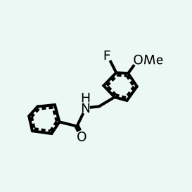 COc1ccc(CNC(=O)c2ccccc2)cc1F